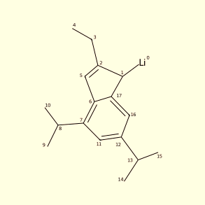 [Li][CH]1C(CC)=Cc2c(C(C)C)cc(C(C)C)cc21